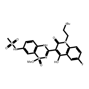 COP1(=O)N=C(c2c(O)c3cc(F)ccc3n(CCC(C)(C)C)c2=O)Nc2ccc(NS(C)(=O)=O)cc21